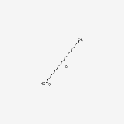 CCCCCCCCCCCCCCCCCCCC(=O)O.[Cr]